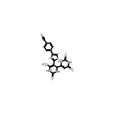 CC1=C(c2nc(-c3ccc(C#N)cc3)cs2)C(c2cc(=O)[nH]c(=O)[nH]2)NC(=O)N1